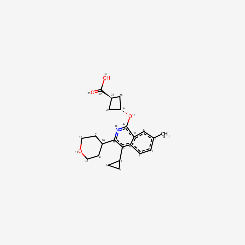 Cc1ccc2c(C3CC3)c(C3CCOCC3)nc(O[C@H]3C[C@H](C(=O)O)C3)c2c1